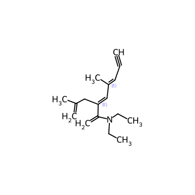 C#C/C=C(C)/C=C(\CC(=C)C)C(=C)N(CC)CC